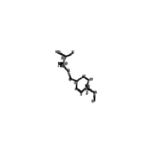 CCN1CCC(CCNC(C)C)CC1